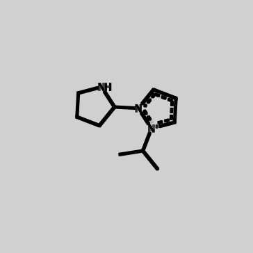 CC(C)[n+]1cccn1C1CCCN1